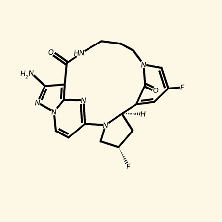 Nc1nn2ccc3nc2c1C(=O)NCCCn1cc(F)cc(c1=O)[C@H]1C[C@H](F)CN31